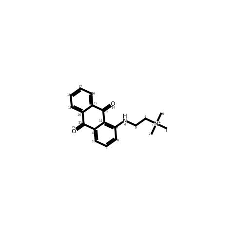 C[N+](C)(C)CCNc1cccc2c1C(=O)c1ccccc1C2=O